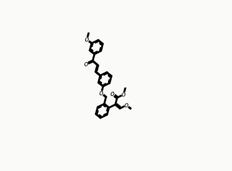 COC=C(C(=O)OC)c1ccccc1COc1cccc(C=CC(=O)c2cccc(OC)c2)c1